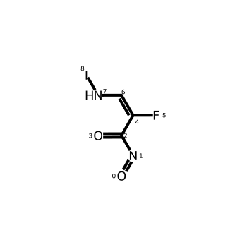 O=NC(=O)/C(F)=C\NI